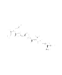 CC(=O)N(C[C]=O)C(=O)CNC(=O)CNC(=O)[C@@H](N)CCCNC(=N)N